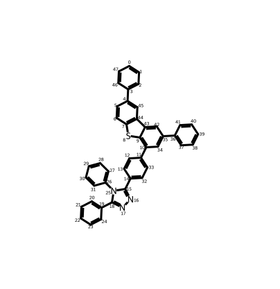 c1ccc(-c2ccc3sc4c(-c5ccc(-c6nnc(-c7ccccc7)n6-c6ccccc6)cc5)cc(-c5ccccc5)cc4c3c2)cc1